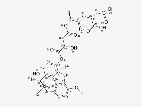 COc1ccc2c3c1O[C@@H]1C(OC(=O)[C@@H](O)CC(=O)O[C@@H](C)C(=O)O[C@H](CC(=O)O)C(=O)O)=CC[C@]4(O)[C@H](C2)N(C)CC[C@@]314